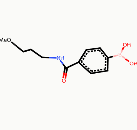 COCCCNC(=O)c1ccc(B(O)O)cc1